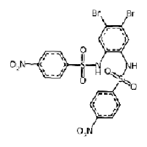 O=[N+]([O-])c1ccc(S(=O)(=O)Nc2cc(Br)c(Br)cc2NS(=O)(=O)c2ccc([N+](=O)[O-])cc2)cc1